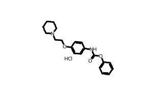 Cl.O=C(Nc1ccc(OCCN2CCCCC2)cc1)Oc1ccccc1